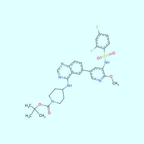 COc1ncc(-c2ccc3ncnc(NC4CCN(C(=O)OC(C)(C)C)CC4)c3c2)cc1NS(=O)(=O)c1ccc(F)cc1F